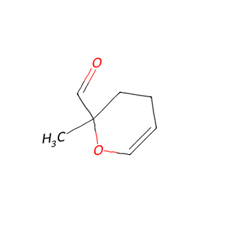 CC1(C=O)CCC=CO1